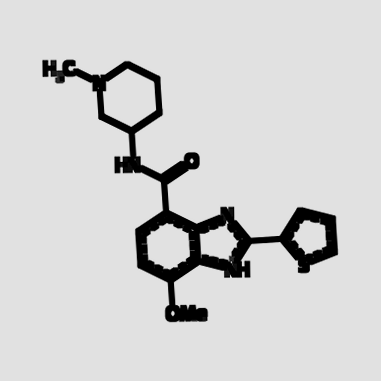 COc1ccc(C(=O)NC2CCCN(C)C2)c2nc(-c3cccs3)[nH]c12